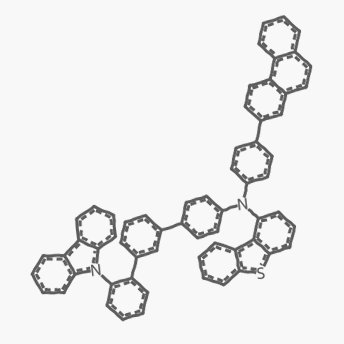 c1cc(-c2ccc(N(c3ccc(-c4ccc5c(ccc6ccccc65)c4)cc3)c3cccc4sc5ccccc5c34)cc2)cc(-c2ccccc2-n2c3ccccc3c3ccccc32)c1